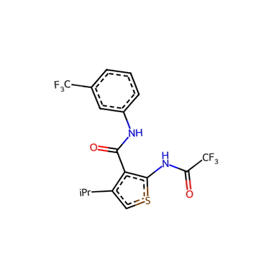 CC(C)c1csc(NC(=O)C(F)(F)F)c1C(=O)Nc1cccc(C(F)(F)F)c1